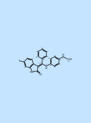 Cc1ccc2c(c1)NC(=O)/C2=C(\Nc1ccc(NC=O)cc1)c1ccccc1